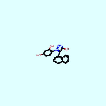 Oc1ccc(-n2nnc(O)c2-c2cccc3ccccc23)c(O)c1